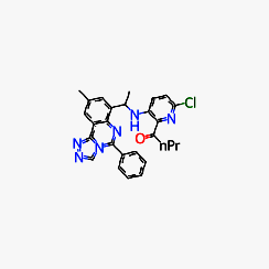 CCCC(=O)c1nc(Cl)ccc1NC(C)c1cc(C)cc2c1nc(-c1ccccc1)n1cnnc21